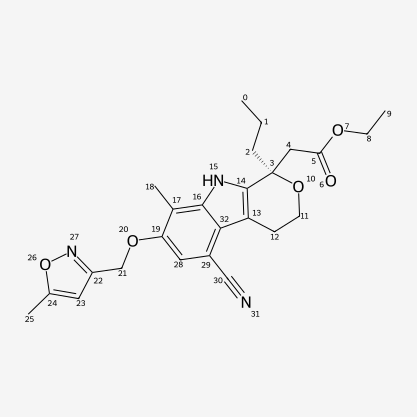 CCC[C@]1(CC(=O)OCC)OCCc2c1[nH]c1c(C)c(OCc3cc(C)on3)cc(C#N)c21